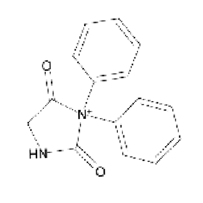 O=C1CNC(=O)[N+]1(c1ccccc1)c1ccccc1